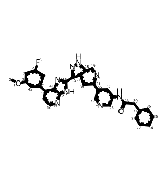 COc1cc(F)cc(-c2ccnc3[nH]c(-c4n[nH]c5cnc(-c6cncc(NC(=O)Cc7ccccc7)c6)cc45)nc23)c1